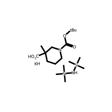 CC(C)(C)OC(=O)N1CCCC(C)(C(=O)O)C1.C[Si](C)(C)N[Si](C)(C)C.[KH]